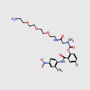 Cc1cc([N+](=O)[O-])ccc1NC(=O)c1cc(Cl)ccc1OC(=O)N(C)CC(=O)NCCOCCOCCOCCN